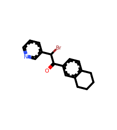 O=C(c1ccc2c(c1)CCCC2)C(Br)c1cccnc1